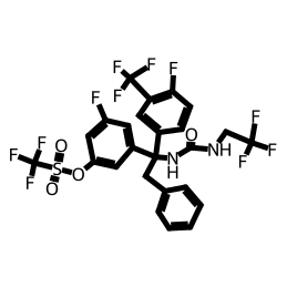 O=C(NCC(F)(F)F)NC(Cc1ccccc1)(c1cc(F)cc(OS(=O)(=O)C(F)(F)F)c1)c1ccc(F)c(C(F)(F)F)c1